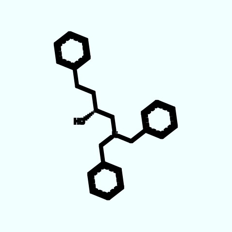 O[C@H](CCc1ccccc1)CN(Cc1ccccc1)Cc1ccccc1